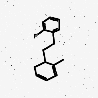 CC1=CC=CCC1CCc1ccccc1F